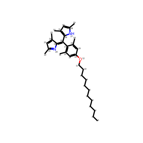 CCCCCCCCCCCCOc1cc(C)c(/C(=C2\N=C(C)C=C2C)c2[nH]c(C)cc2C)c(C)c1